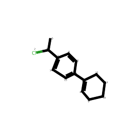 CC(Cl)c1ccc(C2=CCCCC2)cc1